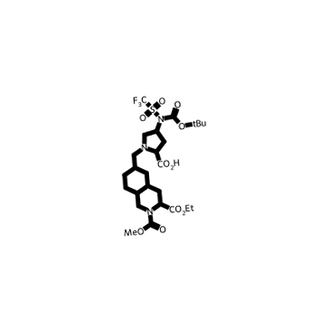 CCOC(=O)C1CC2CC(CN3CC(N(C(=O)OC(C)(C)C)S(=O)(=O)C(F)(F)F)CC3C(=O)O)CCC2CN1C(=O)OC